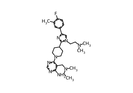 CCN(C)Cc1c(N)ncnc1N1CCC(c2nc(-c3ccc(F)c(C)c3)cn2CCN(C)C)CC1